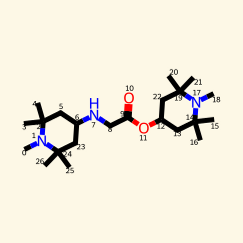 CN1C(C)(C)CC(NCC(=O)OC2CC(C)(C)N(C)C(C)(C)C2)CC1(C)C